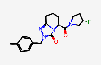 Cc1ccc(Cn2nc3n(c2=O)[C@H](C(=O)N2CC[C@H](F)C2)CCC3)cc1